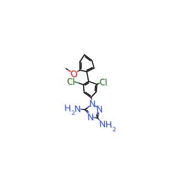 COc1ccccc1-c1c(Cl)cc(-n2nc(N)nc2N)cc1Cl